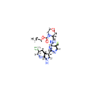 CCOC(=O)N1CCOCC1CNc1nc(-c2c[nH]c3c2=CC(Cl)CN=3)ncc1F